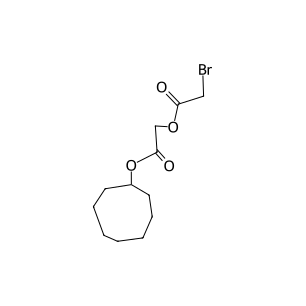 O=C(CBr)OCC(=O)OC1CCCCCCC1